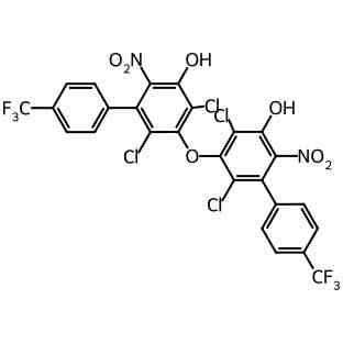 O=[N+]([O-])c1c(O)c(Cl)c(Oc2c(Cl)c(O)c([N+](=O)[O-])c(-c3ccc(C(F)(F)F)cc3)c2Cl)c(Cl)c1-c1ccc(C(F)(F)F)cc1